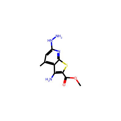 COC(=O)c1sc2nc(NN)cc(C)c2c1N